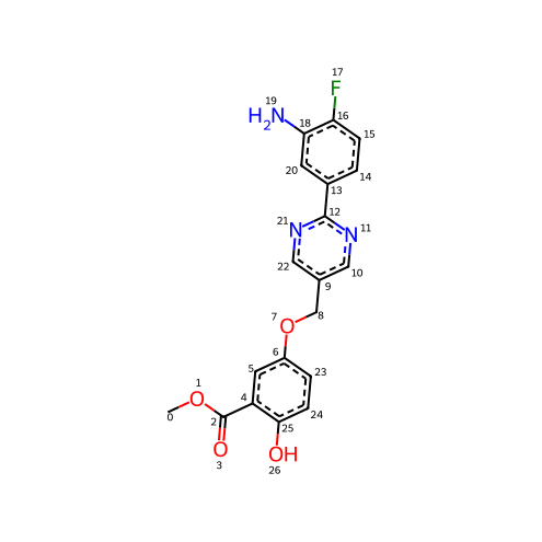 COC(=O)c1cc(OCc2cnc(-c3ccc(F)c(N)c3)nc2)ccc1O